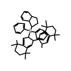 CC1C=C2C(=CC1C1C=C3C(=CC1[Si](c1ccccc1)(c1ccccc1)C1CCC4C=CC=CC41)C(C)(C)CCC3(C)C)C(C)(C)CCC2(C)C